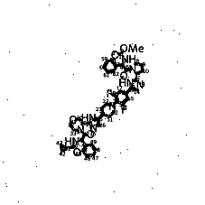 COC(=O)N[C@@H](C(=O)N1CCC[C@H]1c1ncc(-c2cc(F)c(N3CCC(c4cnc([C@@H]5COCCN5C(=O)[C@H](NC(=O)C5CC5)c5ccccc5)[nH]4)CC3)c(F)c2)[nH]1)c1ccccc1